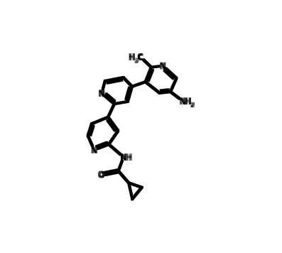 Cc1ncc(N)cc1-c1ccnc(-c2ccnc(NC(=O)C3CC3)c2)c1